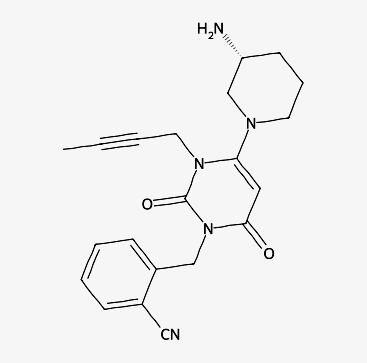 CC#CCn1c(N2CCC[C@@H](N)C2)cc(=O)n(Cc2ccccc2C#N)c1=O